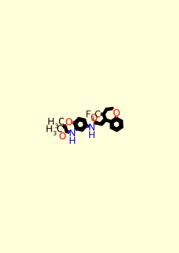 CC1(C)Oc2ccc(NC(=O)/C=C3/c4ccccc4OCCC3C(F)(F)F)cc2NC1=O